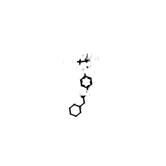 CC1(C)OB(c2ccc(NC(=O)CC3CCCCC3)cc2)OC1(C)C